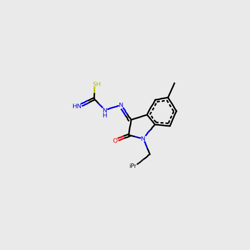 Cc1ccc2c(c1)/C(=N/NC(=N)S)C(=O)N2CC(C)C